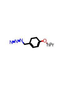 CCCOC1=CC=C(CN=[N+]=[N-])CC1